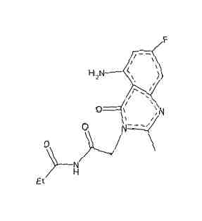 CCC(=O)NC(=O)Cn1c(C)nc2cc(F)cc(N)c2c1=O